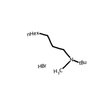 Br.CCCCCCCCCN(C)C(C)(C)C